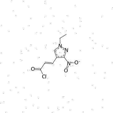 CCn1cc(C=CC(=O)Cl)c([N+](=O)[O-])n1